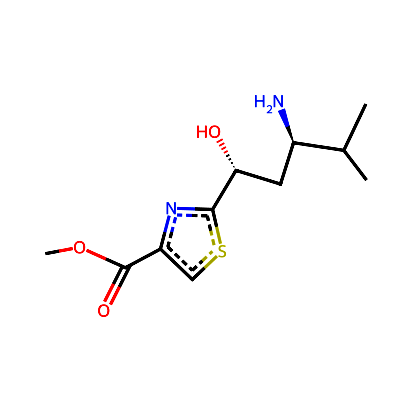 COC(=O)c1csc([C@H](O)C[C@@H](N)C(C)C)n1